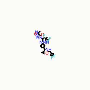 Cc1nonc1C(=O)N[C@@H](c1nc2ccc([C@H](NC(=O)CC3CC(F)(F)C3)C3CC3)cc2[nH]1)C(F)C(C)(C)C(F)F